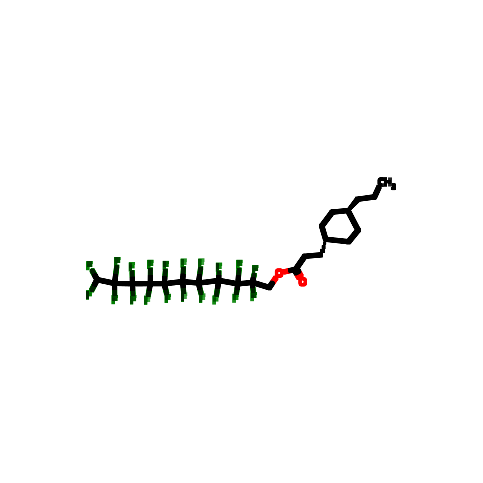 CCC[C@H]1CC[C@H](CCC(=O)OCC(F)(F)C(F)(F)C(F)(F)C(F)(F)C(F)(F)C(F)(F)C(F)(F)C(F)(F)C(F)(F)C(F)F)CC1